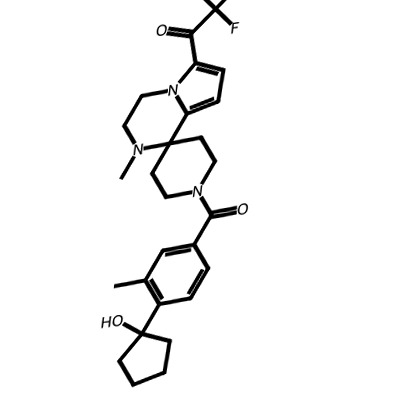 Cc1cc(C(=O)N2CCC3(CC2)c2ccc(C(=O)C(F)(F)F)n2CCN3C)ccc1C1(O)CCCC1